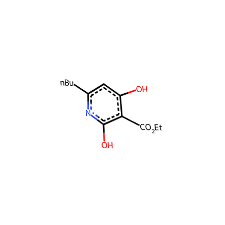 CCCCc1cc(O)c(C(=O)OCC)c(O)n1